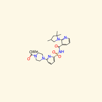 COC(=O)N1CCN(c2cccc(S(=O)(=O)NC(=O)c3cccnc3N3CC(C)CC3(C)C)n2)CC1